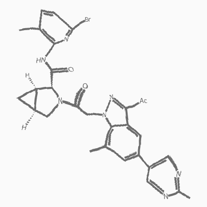 CC(=O)c1nn(CC(=O)N2C[C@H]3C[C@H]3[C@H]2C(=O)Nc2nc(Br)ccc2C)c2c(C)cc(-c3cnc(C)nc3)cc12